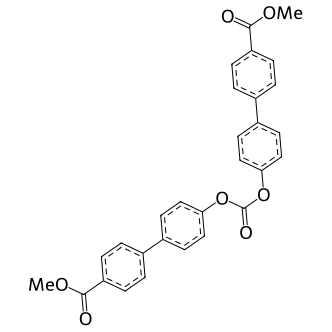 COC(=O)c1ccc(-c2ccc(OC(=O)Oc3ccc(-c4ccc(C(=O)OC)cc4)cc3)cc2)cc1